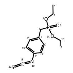 CCOP(=O)(Cc1ccc(N=C=S)cc1)OCC